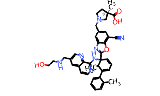 Cc1ccccc1C1=CC=CC(Nc2nccc3cc(CNCCO)cnc23)(c2nc3cc(CN4CC[C@@](C)(C(=O)O)C4)cc(C#N)c3o2)C1C